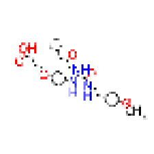 COc1ccc(CCNC(=O)C(NCC(=O)CC2CCCC2)Nc2ccc(OCCCC(=O)O)cc2)cc1